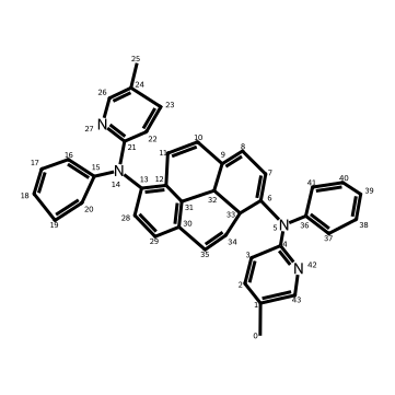 Cc1ccc(N(C2=CC=C3C=Cc4c(N(c5ccccc5)c5ccc(C)cn5)ccc5c4C3C2C=C5)c2ccccc2)nc1